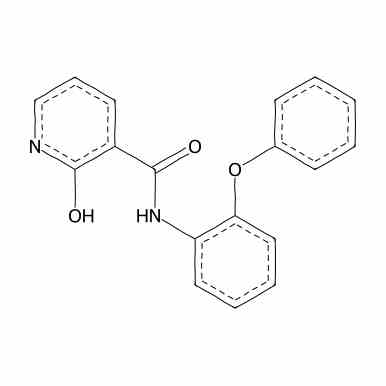 O=C(Nc1ccccc1Oc1ccccc1)c1cccnc1O